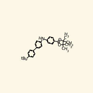 CC(C)(C)c1ccc(-c2ccc(Nc3ccc(B4OC(C)(C)C(C)(C)O4)cc3)cc2)cc1